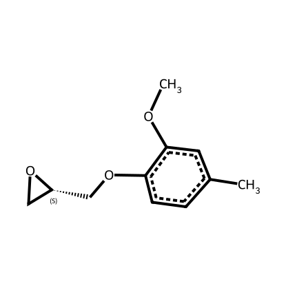 COc1cc(C)ccc1OC[C@@H]1CO1